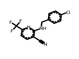 N#Cc1ccc(C(F)(F)F)nc1NCc1ccc(Cl)cc1